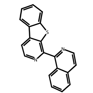 c1ccc2c(-c3nccc4c3sc3ccccc34)nccc2c1